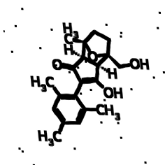 Cc1cc(C)c(C2=C(O)[C@H]3[C@@H](C2=O)[C@]2(C)CC[C@@]3(CO)O2)c(C)c1